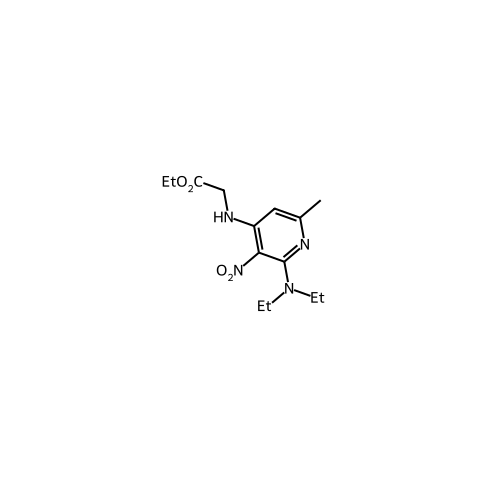 CCOC(=O)CNc1cc(C)nc(N(CC)CC)c1[N+](=O)[O-]